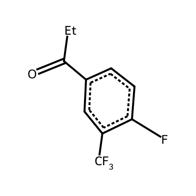 CCC(=O)c1ccc(F)c(C(F)(F)F)c1